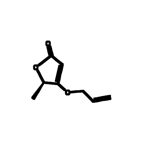 C=CCOC1=CC(=O)O[C@@H]1C